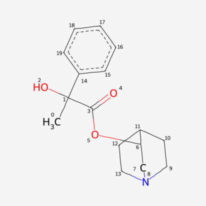 CC(O)(C(=O)OC1CN2CCC1CC2)c1ccccc1